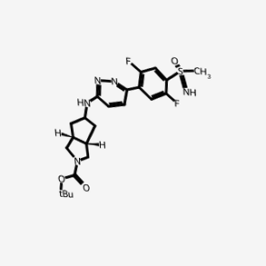 CC(C)(C)OC(=O)N1C[C@H]2CC(Nc3ccc(-c4cc(F)c(S(C)(=N)=O)cc4F)nn3)C[C@H]2C1